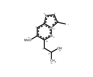 COc1cc2ncc(I)n2nc1CC(C)O